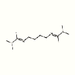 C/C(=N\CCCC/N=C(\C)N(C)C)N(C)C